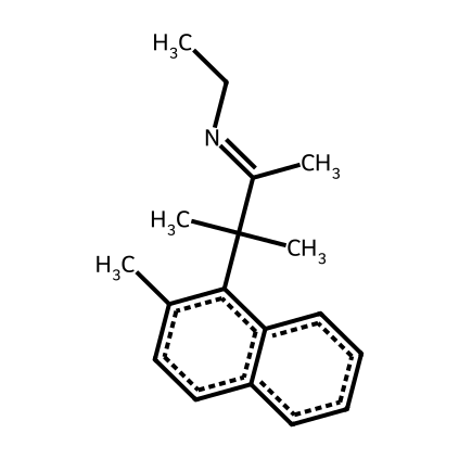 CC/N=C(\C)C(C)(C)c1c(C)ccc2ccccc12